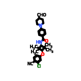 CC1(C)[C@H](NC(=O)c2ccc(N3CCC(C=O)CC3)cc2)C(C)(C)[C@H]1Oc1ccc(C#N)c(Cl)c1